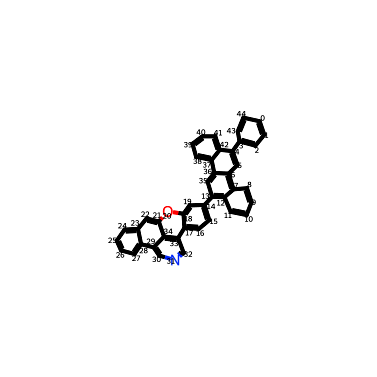 c1ccc(-c2cc3c4ccccc4c(-c4ccc5c(c4)Oc4cc6ccccc6c6cncc-5c46)cc3c3ccccc23)cc1